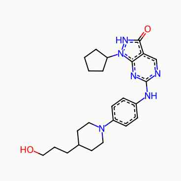 O=c1[nH]n(C2CCCC2)c2nc(Nc3ccc(N4CCC(CCCO)CC4)cc3)ncc12